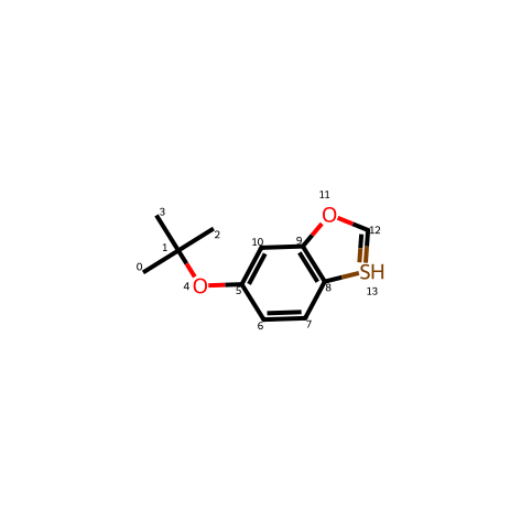 CC(C)(C)Oc1ccc2c(c1)OC=[SH]2